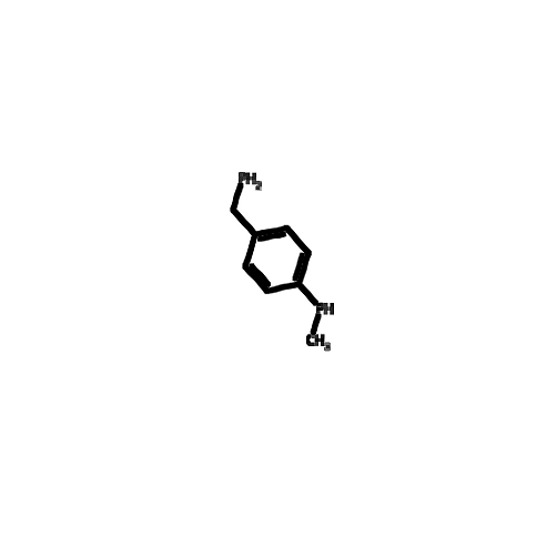 CPc1ccc(CP)cc1